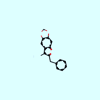 Cc1c(Cc2ccccc2)oc2cc3c(cc12)OCO3